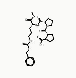 COC(=O)[C@H](CCCNC(=O)OCc1ccccc1)NC(=O)[C@@H]1CCCN1C(=O)[C@@H]1CCCN1C(=O)O